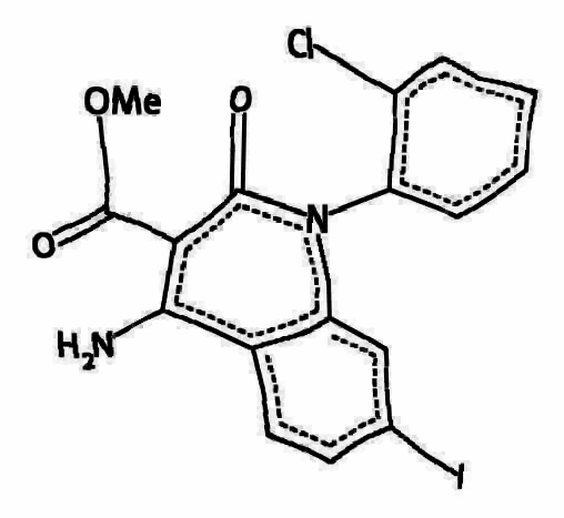 COC(=O)c1c(N)c2ccc(I)cc2n(-c2ccccc2Cl)c1=O